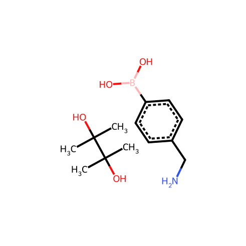 CC(C)(O)C(C)(C)O.NCc1ccc(B(O)O)cc1